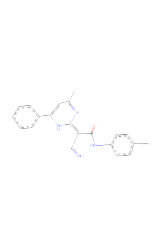 CC1=N/C(=C(/C=N)C(=O)Nc2ccc(C)cc2)NC(c2ccccc2)=C1